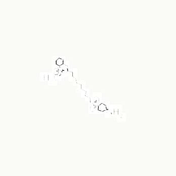 C=CS(=O)(=O)c1ccccc1CCCCCCCCCCCCS(=O)(=O)c1ccc(N)cc1